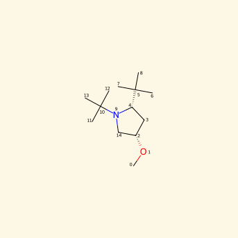 CO[C@H]1C[C@@H](C(C)(C)C)N(C(C)(C)C)C1